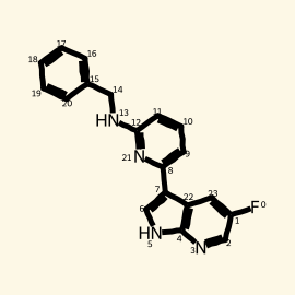 Fc1cnc2[nH]cc(-c3cccc(NCc4ccccc4)n3)c2c1